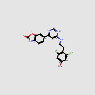 O=c1[nH]c2ccc(-c3cc(NCCc4c(F)cc(Br)cc4F)ncn3)cc2o1